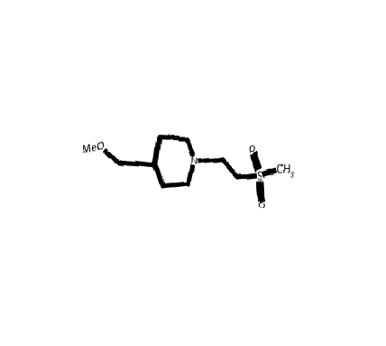 COCC1CCN(CCS(C)(=O)=O)CC1